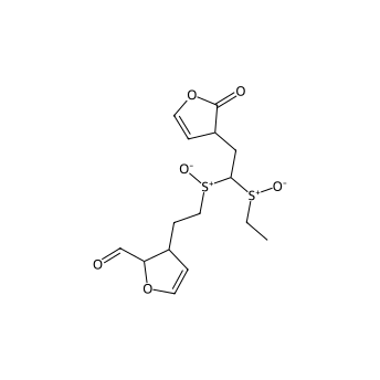 CC[S+]([O-])C(CC1C=COC1=O)[S+]([O-])CCC1C=COC1C=O